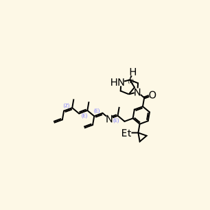 C=C\C=C(C)/C=C(C)/C(C=C)=C/N=C(\C)Cc1cc(C(=O)N2C[C@@H]3CC2CN3)ccc1C1(CC)CC1